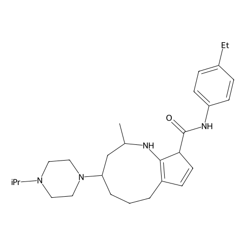 CCc1ccc(NC(=O)C2C=CC3=C2NC(C)CC(N2CCN(C(C)C)CC2)CCC3)cc1